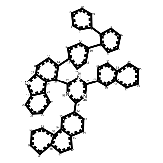 c1ccc(-c2ccccc2-c2ccc(-c3ccc4oc5ccccc5c4c3-c3nc(-c4ccc5ccccc5c4)nc(-c4ccc5ccc6ccccc6c5c4)n3)cc2)cc1